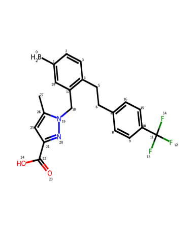 Bc1ccc(CCc2ccc(C(F)(F)F)cc2)c(Cn2nc(C(=O)O)cc2C)c1